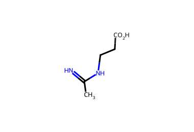 CC(=N)NCCC(=O)O